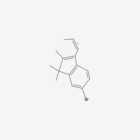 C/C=C\C1=C(C)C(C)(C)c2cc(Br)ccc21